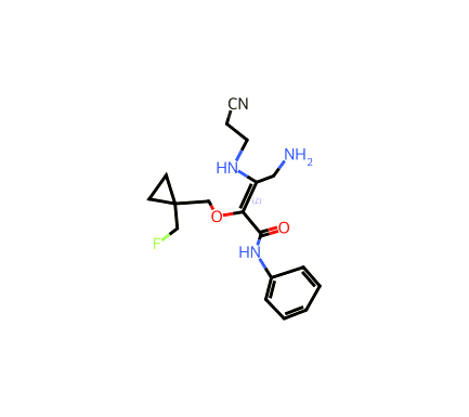 N#CCCN/C(CN)=C(\OCC1(CF)CC1)C(=O)Nc1ccccc1